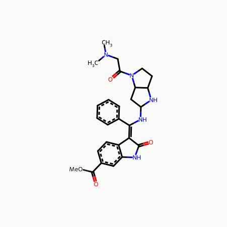 COC(=O)c1ccc2c(c1)NC(=O)/C2=C(\NC1CC2C(CCN2C(=O)CN(C)C)N1)c1ccccc1